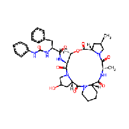 C[C@@H]1C[C@H]2C(=O)O[C@@H](C)[C@H](NC(=O)[C@H](Cc3ccccc3)NC(=O)Nc3ccccc3)C(=O)N3CC(O)C[C@H]3C(=O)N3CCCC[C@H]3C(=O)N[C@@H](C)C(=O)N2C1